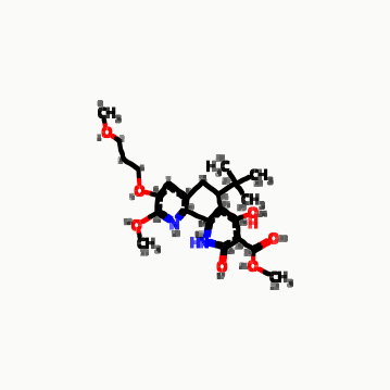 COCCCOc1cc2c(nc1OC)-c1[nH]c(=O)c(C(=O)OC)c(O)c1C(C(C)(C)C)C2